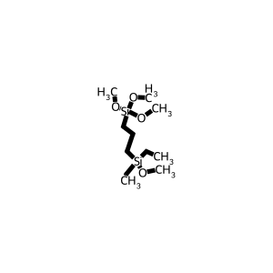 CC[Si](CC)(CCC[Si](OC)(OC)OC)OC